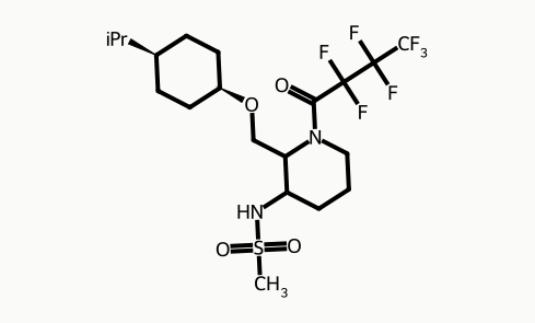 CC(C)[C@H]1CC[C@@H](OCC2C(NS(C)(=O)=O)CCCN2C(=O)C(F)(F)C(F)(F)C(F)(F)F)CC1